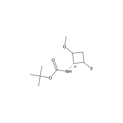 COC1CC(F)[C@@H]1NC(=O)OC(C)(C)C